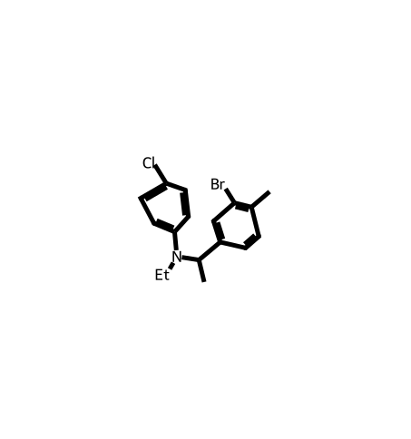 CCN(c1ccc(Cl)cc1)C(C)c1ccc(C)c(Br)c1